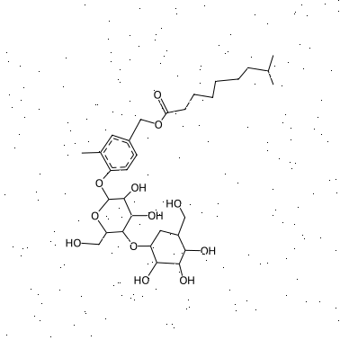 Cc1cc(COC(=O)CCCCCCC(C)C)ccc1OC1OC(CO)C(OC2CC(CO)C(O)C(O)C2O)C(O)C1O